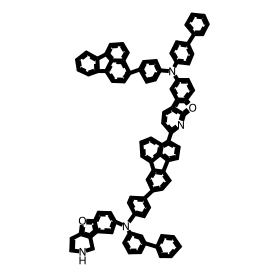 C1=Cc2oc3ccc(N(c4ccc(-c5ccc6c(c5)-c5cccc7c(-c8ccc9c(n8)oc8ccc(N(c%10ccc(-c%11ccccc%11)cc%10)c%10ccc(-c%11ccc%12c%13c(cccc%11%13)-c%11ccccc%11-%12)cc%10)cc89)ccc-6c57)cc4)c4cccc(-c5ccccc5)c4)cc3c2CN1